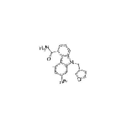 CCCc1c[c]c2c3c(C(N)=O)cccc3n(Cc3ccoc3)c2c1